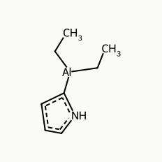 C[CH2][Al]([CH2]C)[c]1ccc[nH]1